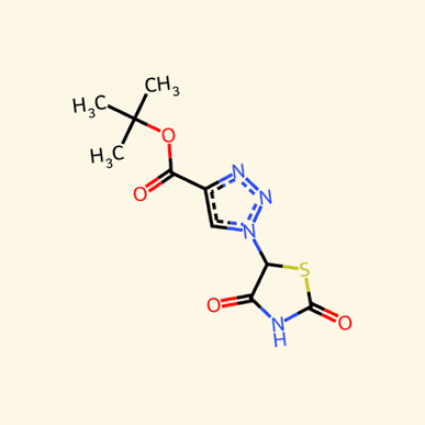 CC(C)(C)OC(=O)c1cn(C2SC(=O)NC2=O)nn1